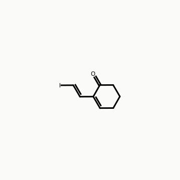 O=C1CCCC=C1/C=C/I